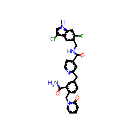 NC(=O)c1cc(Cc2cc(C(=O)NCc3cc4c(Cl)c[nH]c4cc3F)ccn2)ccc1Cn1ccccc1=O